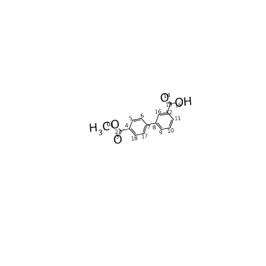 COC(=O)c1ccc(-c2cccc(C(=O)O)c2)cc1